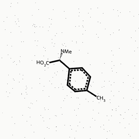 CN[C@@H](C(=O)O)c1ccc(C)cc1